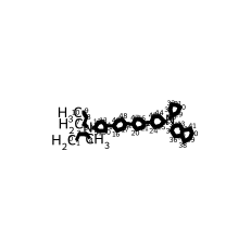 C=C/C=C(\C)N(C(=C)/C=C\C)c1ccc(-c2ccc(-c3ccc(-c4ccc(N(c5ccccc5)c5ccc6ccccc6c5)cc4)cc3)cc2)cc1